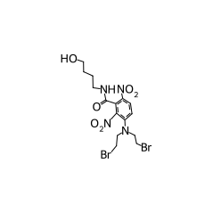 O=C(NCCCCO)c1c([N+](=O)[O-])ccc(N(CCBr)CCBr)c1[N+](=O)[O-]